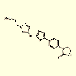 COCCn1cc(Nc2ncc(-c3ccc(N4CCNC4=O)cc3)o2)cn1